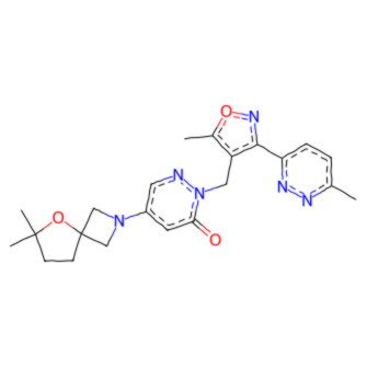 Cc1ccc(-c2noc(C)c2Cn2ncc(N3CC4(CCC(C)(C)O4)C3)cc2=O)nn1